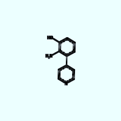 Nc1c(O)cccc1-c1ccncc1